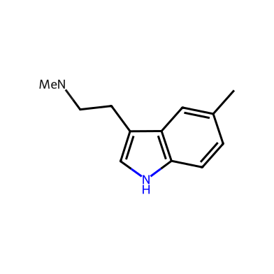 CNCCc1c[nH]c2ccc(C)cc12